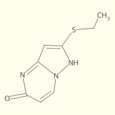 CCSc1cc2nc(=O)ccn2[nH]1